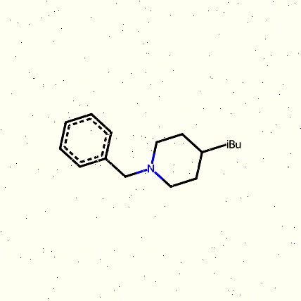 CCC(C)C1CCN(Cc2ccccc2)CC1